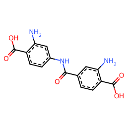 Nc1cc(NC(=O)c2ccc(C(=O)O)c(N)c2)ccc1C(=O)O